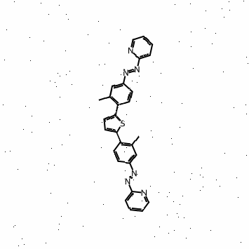 Cc1cc(N=Nc2ccccn2)ccc1-c1ccc(-c2ccc(N=Nc3ccccn3)cc2C)s1